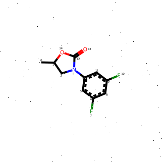 [CH2]C1CN(c2cc(F)cc(F)c2)C(=O)O1